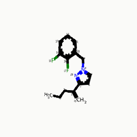 C=C(CCC)c1ccn(Cc2cccc(F)c2F)n1